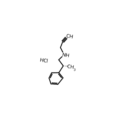 C#CCNC[C@H](C)c1ccccc1.Cl